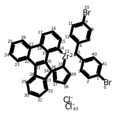 Brc1ccc([C](c2ccc(Br)cc2)=[Zr+2]([c]2cccc3c2c2c(c4ccccc43)-c3ccccc3C2)[CH]2C=CC=C2)cc1.[Cl-].[Cl-]